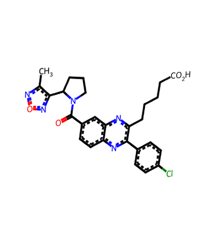 Cc1nonc1C1CCCN1C(=O)c1ccc2nc(-c3ccc(Cl)cc3)c(CCCCC(=O)O)nc2c1